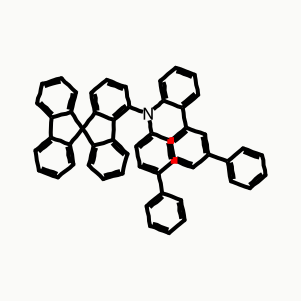 c1ccc(-c2ccc(N(c3ccccc3-c3cccc(-c4ccccc4)c3)c3cccc4c3-c3ccccc3C43c4ccccc4-c4ccccc43)cc2)cc1